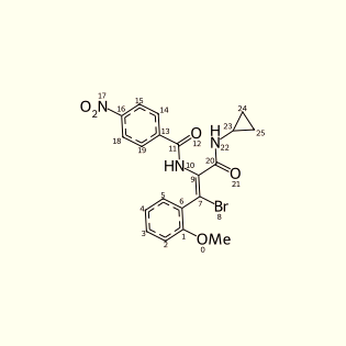 COc1ccccc1C(Br)=C(NC(=O)c1ccc([N+](=O)[O-])cc1)C(=O)NC1CC1